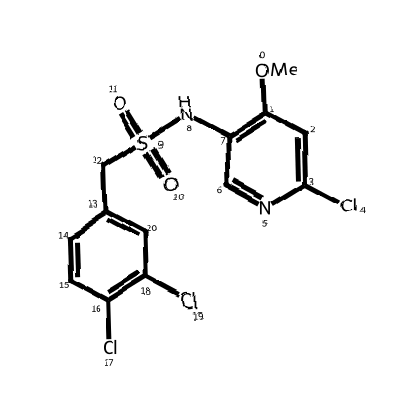 COc1cc(Cl)ncc1NS(=O)(=O)Cc1ccc(Cl)c(Cl)c1